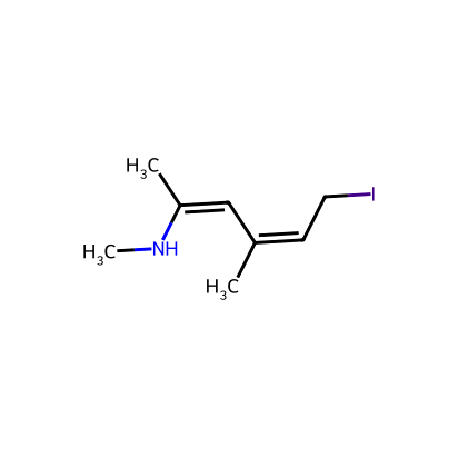 CN/C(C)=C\C(C)=C/CI